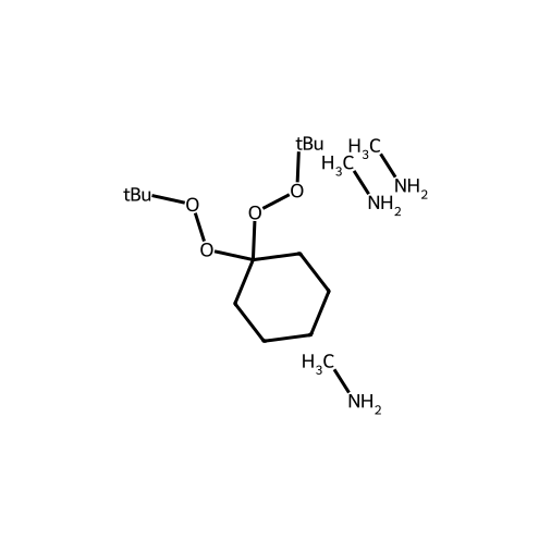 CC(C)(C)OOC1(OOC(C)(C)C)CCCCC1.CN.CN.CN